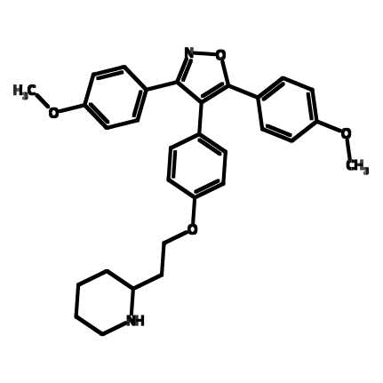 COc1ccc(-c2noc(-c3ccc(OC)cc3)c2-c2ccc(OCCC3CCCCN3)cc2)cc1